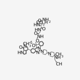 C#CCNC1(C)CCN(C2CCN(c3nc(C(COCNC(=O)CNC(=O)C(CC(N)=O)NC(=O)O)(OC4CC4)c4ccccc4)c4cc(-c5cn(C)c(=O)c6[nH]ccc56)ccc4n3)CC2)CC1